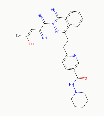 CC/C(O)=C/C(=N)C(=N)n1nc(CCc2ccc(C(=O)NN3CCCCC3)cn2)c2ccccc2c1=N